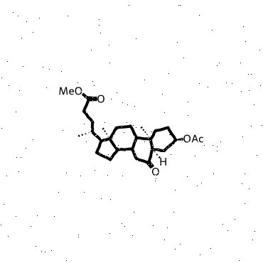 COC(=O)CC[C@@H](C)C1CCC2C3CC(=O)[C@@H]4C[C@H](OC(C)=O)CC[C@]4(C)C3CC[C@@]21C